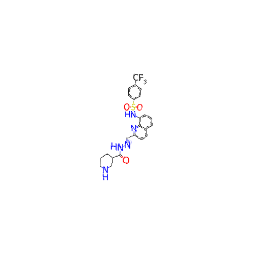 O=C(N/N=C/c1ccc2cccc(NS(=O)(=O)c3ccc(C(F)(F)F)cc3)c2n1)C1CCCNC1